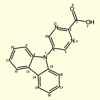 O=C(O)c1ncc(-n2c3ccccc3c3ccccc32)cn1